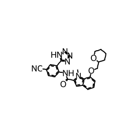 Cn1c(C(=O)Nc2ccc(C#N)cc2-c2nnn[nH]2)cc2cccc(OCC3CCCCO3)c21